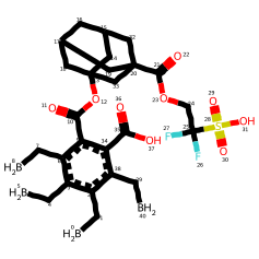 BCc1c(CB)c(CB)c(C(=O)OC23CC4CC(C2)CC(C(=O)OCC(F)(F)S(=O)(=O)O)(C4)C3)c(C(=O)O)c1CB